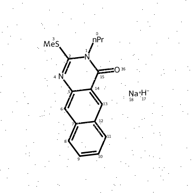 CCCn1c(SC)nc2cc3ccccc3cc2c1=O.[H-].[Na+]